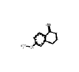 COc1ccc2c(c1)CCCC2=N